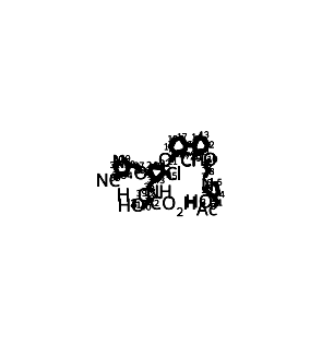 CC(=O)CC1(O)CCN(CCCOc2cccc(-c3cccc(COc4cc(OCc5cncc(C#N)c5)c(CN[C@@](C)(CO)C(=O)O)cc4Cl)c3C)c2Cl)C1